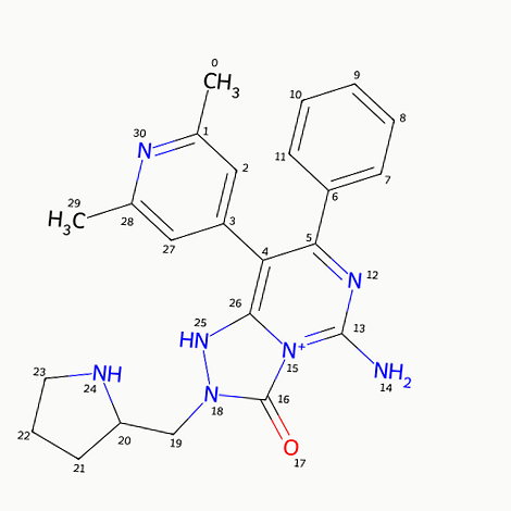 Cc1cc(-c2c(-c3ccccc3)nc(N)[n+]3c(=O)n(CC4CCCN4)[nH]c23)cc(C)n1